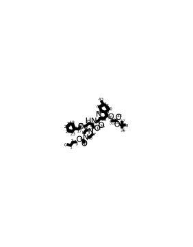 CCCCOC(=O)N1CCN(C(=O)C(CCOCc2ccccc2)NC(=O)c2cc(OCC(=O)OC(C)(C)C)c3ccc(C)cc3n2)CC1